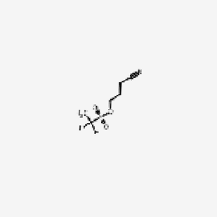 CC(F)(F)S(=O)(=O)OCCCC#N